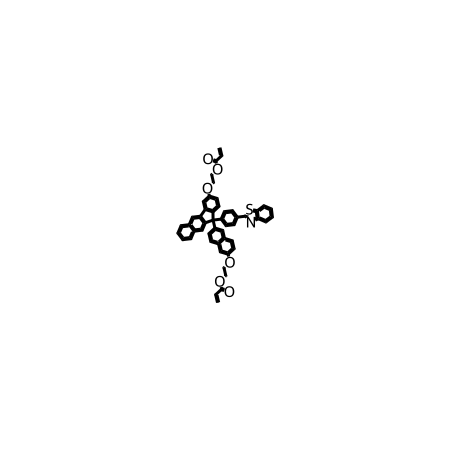 C=CC(=O)OCCOc1ccc2c(c1)-c1cc3ccccc3cc1C2(c1ccc(-c2nc3ccccc3s2)cc1)c1ccc2cc(OCCOC(=O)C=C)ccc2c1